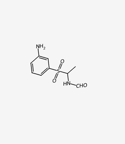 CC(NC=O)S(=O)(=O)c1cccc(N)c1